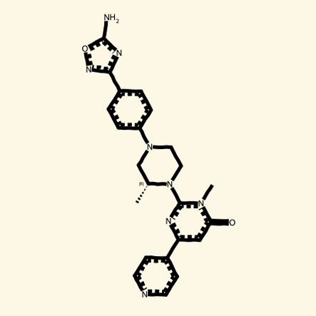 C[C@@H]1CN(c2ccc(-c3noc(N)n3)cc2)CCN1c1nc(-c2ccncc2)cc(=O)n1C